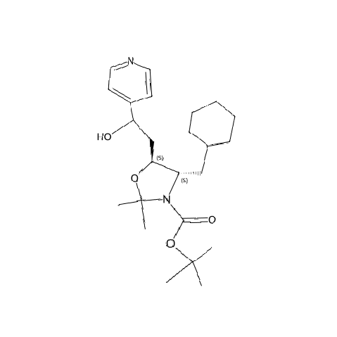 CC(C)(C)OC(=O)N1[C@@H](CC2CCCCC2)[C@H](CC(O)c2ccncc2)OC1(C)C